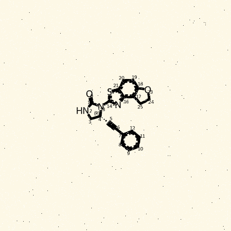 O=C1NC[C@@H](C#Cc2ccccc2)N1c1nc2c3c(ccc2s1)OCC3